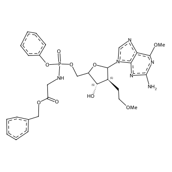 COCC[C@@H]1C(n2cnc3c(OC)nc(N)nc32)OC(COP(=O)(NCC(=O)OCc2ccccc2)Oc2ccccc2)[C@H]1O